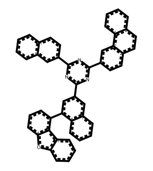 c1ccc2cc(-c3nc(-c4cc(-c5cccc6oc7ccccc7c56)c5ccccc5c4)nc(-c4ccc5ccc6ccccc6c5c4)n3)ccc2c1